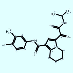 Cc1cc(NC(=O)c2cc(C(=O)C(=O)N[C@@H](C)C(F)(F)F)n3c2CCCC3)ccc1F